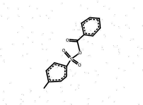 Cc1ccc(S(=O)(=O)OC(=O)c2ccccc2)cc1